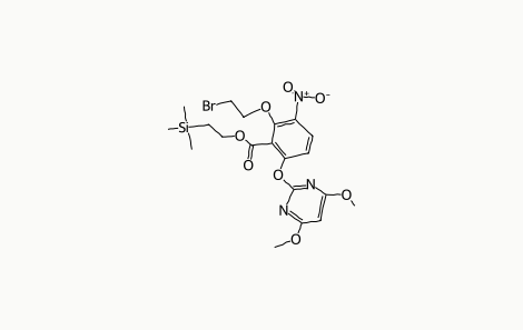 COc1cc(OC)nc(Oc2ccc([N+](=O)[O-])c(OCCBr)c2C(=O)OCC[Si](C)(C)C)n1